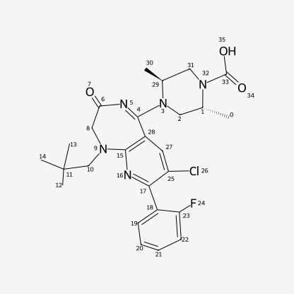 C[C@@H]1CN(C2=NC(=O)CN(CC(C)(C)C)c3nc(-c4ccccc4F)c(Cl)cc32)[C@@H](C)CN1C(=O)O